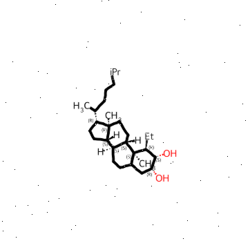 CC[C@H]1[C@H](O)[C@H](O)CC2CC[C@H]3[C@@H]4CC[C@H](C(C)CCCC(C)C)[C@@]4(C)CC[C@@H]3[C@]21C